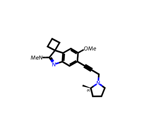 CNC1=Nc2cc(C#CCN3CCC[C@H]3C)c(OC)cc2C12CCC2